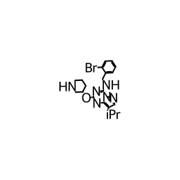 CC(C)c1cnn2c(NCc3ccccc3Br)nc(O[C@@H]3CCCNC3)nc12